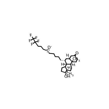 C[C@]12CCC(=O)C[C@@H]1C[C@@H](CCCCC[S+]([O-])CCCC(F)(F)C(F)(F)F)[C@@H]1[C@@H]2CC[C@]2(C)[C@@H](O)CC[C@@H]12